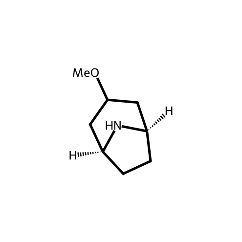 COC1C[C@H]2CC[C@@H](C1)N2